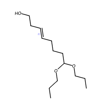 CCCOC(CCC/C=C/CCO)OCCC